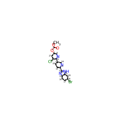 COC(=O)Oc1cnc(-c2ccc(-c3nc4ccc(Br)cc4[nH]3)nc2)c(Cl)c1